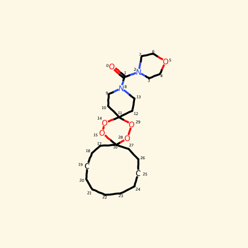 O=C(N1CCOCC1)N1CCC2(CC1)OOC1(CCCCCCCCCCC1)OO2